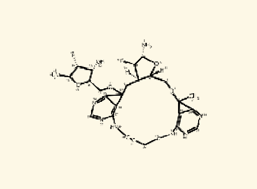 CC12OC[C@H]3O[C@@H](N)[C@H](F)[C@@H]3CC3(OC[C@H]4O[C@@H](N)[C@H](F)[C@@H]4O)c4ncnc(c43)NCCCCNc3ncnc1c32